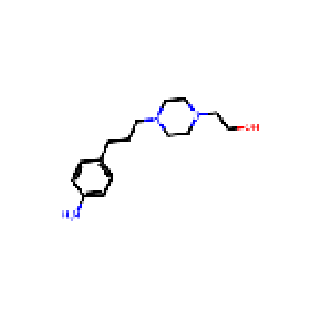 Nc1ccc(CCCN2CCN(CCO)CC2)cc1